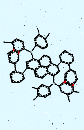 Cc1ccc(N(c2ccc(C)c(C)c2)c2cc(-c3ccccc3-c3ccccc3)c3ccc4c(N(c5ccc(C)c(C)c5)c5ccc(C)c(C)c5)cc(-c5ccccc5-c5ccccc5)c5ccc2c3c54)cc1C